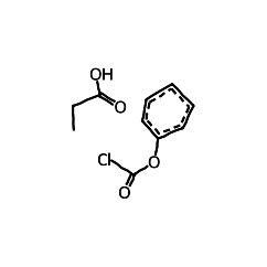 CCC(=O)O.O=C(Cl)Oc1ccccc1